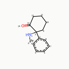 CC(C)NC1(c2ccccc2)CCCCC1=O